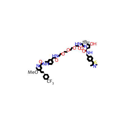 COc1cnc(C(=O)NCc2cccc(CC(=O)NCCOCCOCCOCC(=O)N[C@H](C(=O)N3C[C@H](O)C[C@H]3C(=O)NCc3ccc(-c4scnc4C)cc3)C(C)(C)C)c2)cc1/C=C/[C@H]1CC[C@H](C(F)(F)F)CC1